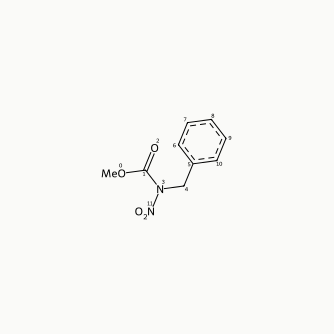 COC(=O)N(Cc1ccccc1)[N+](=O)[O-]